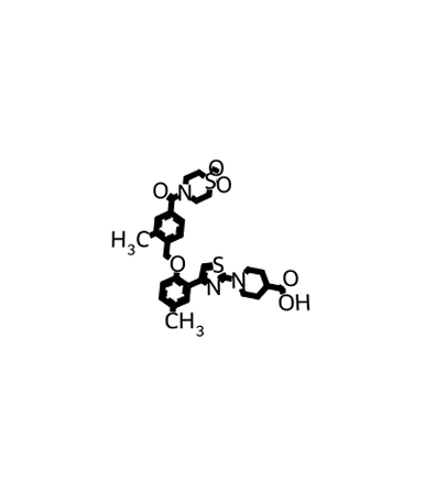 Cc1ccc(OCc2ccc(C(=O)N3CCS(=O)(=O)CC3)cc2C)c(-c2csc(N3CCC(C(=O)O)CC3)n2)c1